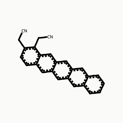 N#CCc1ccc2cc3cc4cc5ccccc5cc4cc3cc2c1CC#N